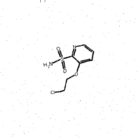 NS(=O)(=O)c1ncccc1OCCCl